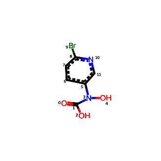 O=C(O)N(O)c1ccc(Br)nc1